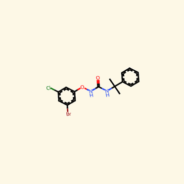 CC(C)(NC(=O)NOc1cc(Cl)cc(Br)c1)c1ccccc1